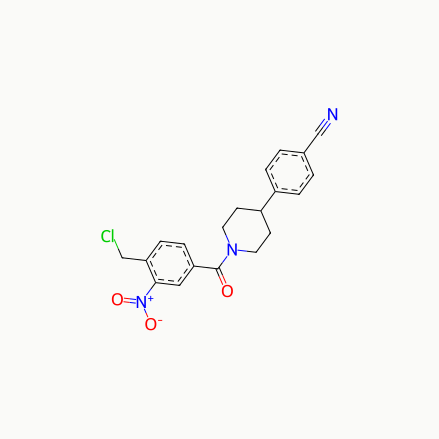 N#Cc1ccc(C2CCN(C(=O)c3ccc(CCl)c([N+](=O)[O-])c3)CC2)cc1